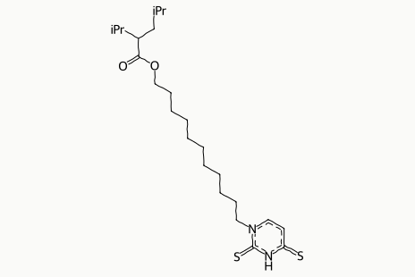 CC(C)CC(C(=O)OCCCCCCCCCCCn1ccc(=S)[nH]c1=S)C(C)C